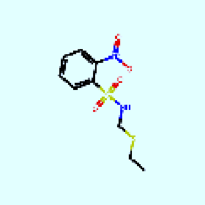 CCSCNS(=O)(=O)c1ccccc1[N+](=O)[O-]